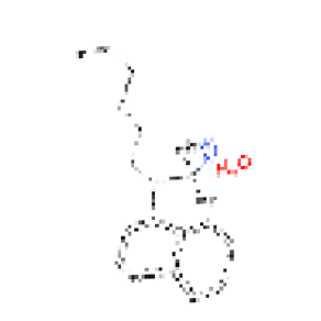 CCCCCCCCCCCCCCC(c1cccc2ccccc12)C(N)(CCC)CCC.O